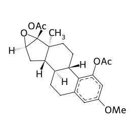 COc1cc2c(c(OC(C)=O)c1)[C@H]1CC[C@@]3(C)[C@@H](C[C@H]4O[C@@]43OC(C)=O)[C@@H]1CC2